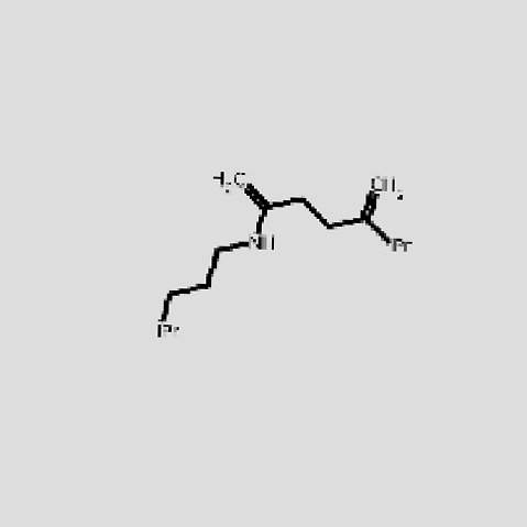 C=C(CCC(=C)C(C)C)NCCCC(C)C